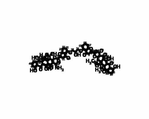 CN(C)[C@@H]1C(OC(=O)c2cc(=O)c3c(OCC(O)COc4cccc5oc(C(=O)OC6=C(C(N)=O)C(=O)[C@@]7(O)C(O)=C8C(=O)c9c(O)cccc9[C@@](C)(O)[C@H]8C[C@H]7[C@@H]6N(C)C)cc(=O)c45)cccc3o2)=C(C(N)=O)C(=O)[C@@]2(O)C(O)=C3C(=O)c4c(O)cccc4[C@@](C)(O)[C@H]3C[C@@H]12